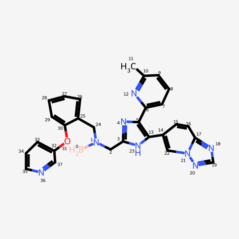 BN(Cc1nc(-c2cccc(C)n2)c(-c2ccc3ncnn3c2)[nH]1)Cc1ccccc1Oc1cccnc1